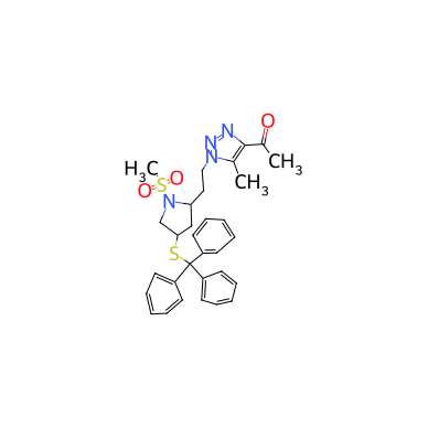 CC(=O)c1nnn(CCC2CC(SC(c3ccccc3)(c3ccccc3)c3ccccc3)CN2S(C)(=O)=O)c1C